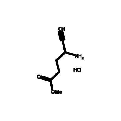 C#CC(N)CCC(=O)OC.Cl